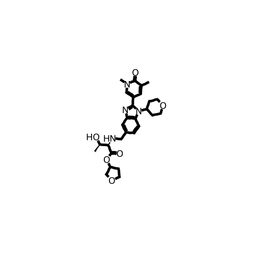 Cc1cc(-c2nc3cc(CN[C@H](C(=O)OC4CCOC4)[C@@H](C)O)ccc3n2C2CCOCC2)cn(C)c1=O